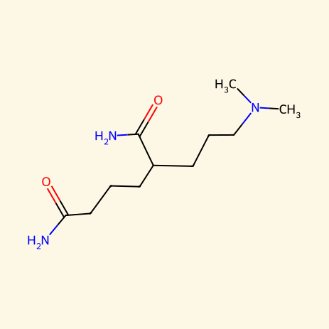 CN(C)CCCC(CCCC(N)=O)C(N)=O